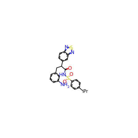 CC(C)c1ccc(S(=O)(=O)NC(=O)C(Cc2cccc(N)c2)c2ccc3nsnc3c2)cc1